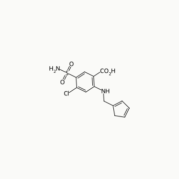 NS(=O)(=O)c1cc(C(=O)O)c(NCC2=CC=CC2)cc1Cl